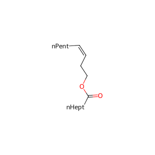 CCCCC/C=C\CCOC(=O)CCCCCCC